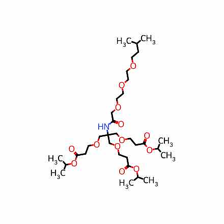 CC(C)CCOCCOCCOCC(=O)NC(COCCC(=O)OC(C)C)(COCCC(=O)OC(C)C)COCCC(=O)OC(C)C